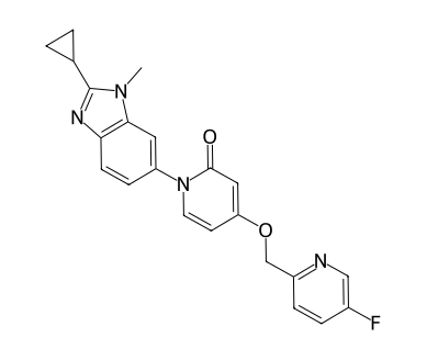 Cn1c(C2CC2)nc2ccc(-n3ccc(OCc4ccc(F)cn4)cc3=O)cc21